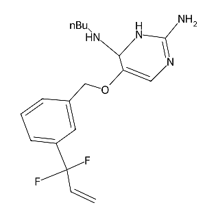 C=CC(F)(F)c1cccc(COC2=CN=C(N)NC2NCCCC)c1